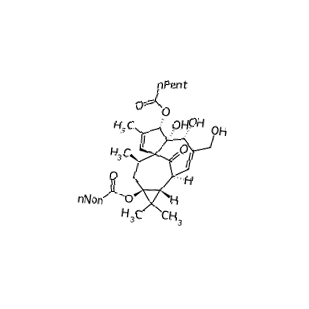 CCCCCCCCCC(=O)O[C@@]12C[C@@H](C)[C@]34C=C(C)[C@H](OC(=O)CCCCC)[C@@]3(O)[C@H](O)C(CO)=C[C@H](C4=O)[C@@H]1C2(C)C